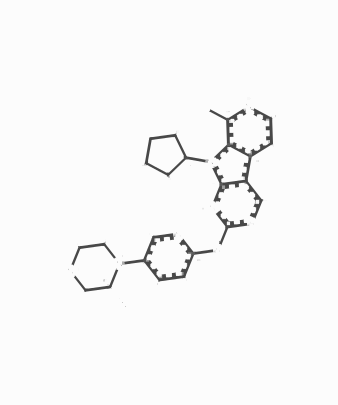 C[C@@H]1CNCCN1c1ccc(Nc2ncc3c4ccnc(F)c4n(C4CCCC4)c3n2)nc1